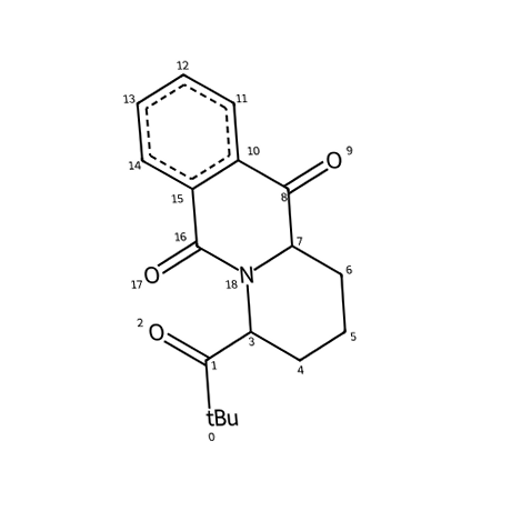 CC(C)(C)C(=O)C1CCCC2C(=O)c3ccccc3C(=O)N21